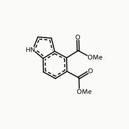 COC(=O)c1ccc2[nH]ccc2c1C(=O)OC